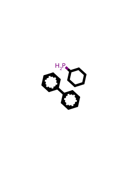 PC1CCCCC1.c1ccc(-c2ccccc2)cc1